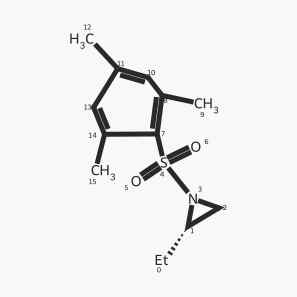 CC[C@H]1CN1S(=O)(=O)c1c(C)cc(C)cc1C